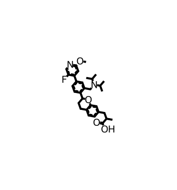 COc1cc(-c2ccc(C3CCc4ccc(CC(C)C(=O)O)cc4O3)c(CN(C(C)C)C(C)C)c2)c(F)cn1